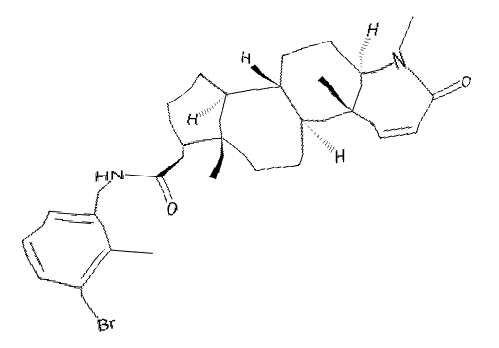 Cc1c(Br)cccc1NC(=O)[C@H]1CC[C@H]2[C@@H]3CC[C@H]4N(C)C(=O)C=C[C@]4(C)[C@H]3CC[C@]12C